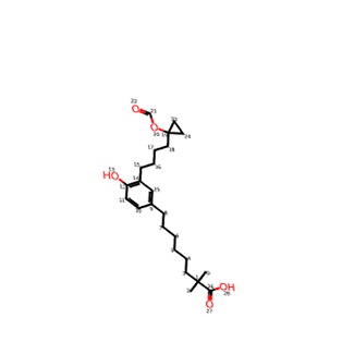 CC(C)(CCCCCCc1ccc(O)c(CCCCC2(OC=O)CC2)c1)C(=O)O